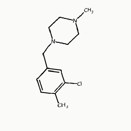 Cc1ccc(CN2CCN(C)CC2)cc1Cl